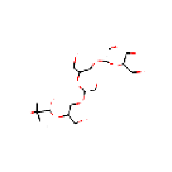 CC(C)(O)[C@@H](O)OC(CO)CO[C@H](CO)OC(CO)CO[C@H](CO)OC(CO)CO